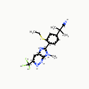 CCSc1cc(C(C)(C)C#N)ccc1-c1nc2cc(C(F)(F)F)nnc2n1C